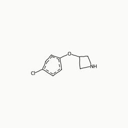 Clc1ccc(OC2CNC2)cc1